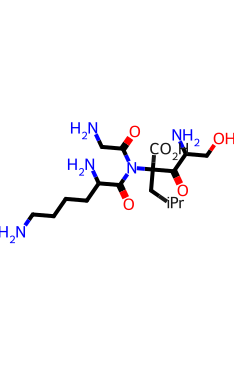 CC(C)CC(C(=O)O)(C(=O)C(N)CO)N(C(=O)CN)C(=O)C(N)CCCCN